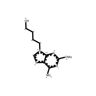 COc1nc(N)c2ncn(CCCCO)c2n1